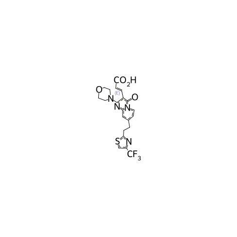 O=C(O)/C=C/c1c(N2CCOCC2)nc2cc(CCc3nc(C(F)(F)F)cs3)ccn2c1=O